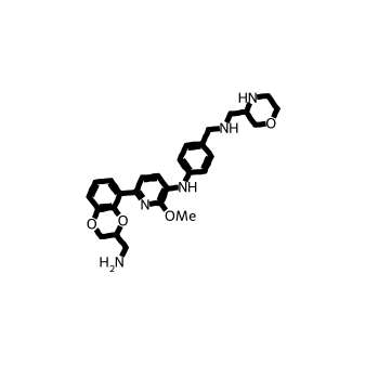 COc1nc(-c2cccc3c2OC(CN)CO3)ccc1Nc1ccc(CNCC2COCCN2)cc1